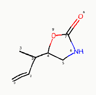 C=CC(C)C1CNC(=O)O1